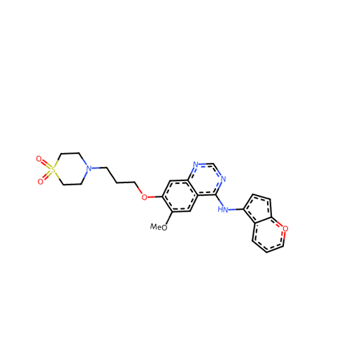 COc1cc2c(Nc3ccc4occcc3-4)ncnc2cc1OCCCN1CCS(=O)(=O)CC1